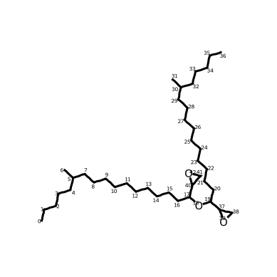 CCCCCC(C)CCCCCCCCCCC(OC(CCCCCCCCCCC(C)CCCCC)C1CO1)C1CO1